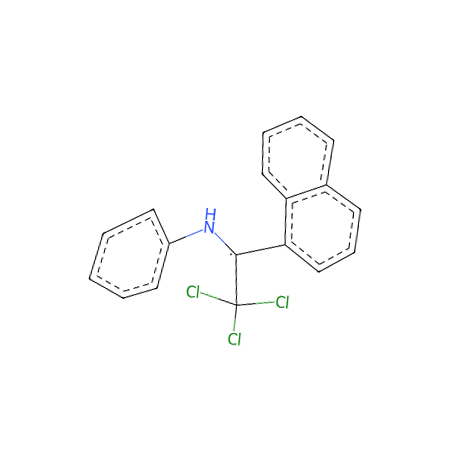 ClC(Cl)(Cl)[C](Nc1ccccc1)c1cccc2ccccc12